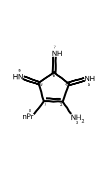 CCCc1c(N)c(=N)c(=N)c1=N